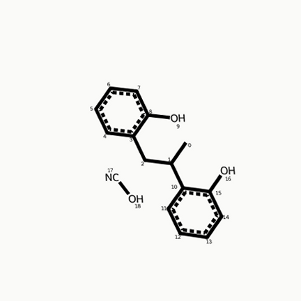 CC(Cc1ccccc1O)c1ccccc1O.N#CO